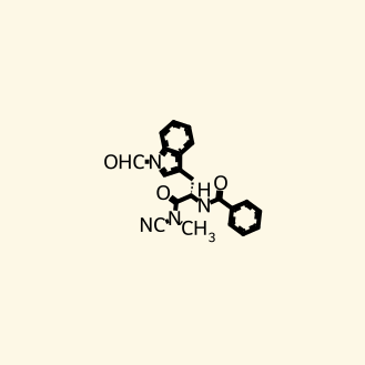 CN(C#N)C(=O)[C@H](Cc1cn(C=O)c2ccccc12)NC(=O)c1ccccc1